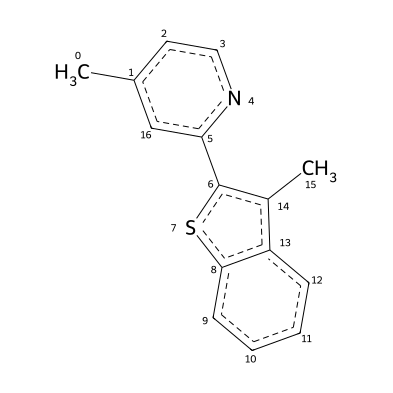 Cc1ccnc(-c2sc3ccccc3c2C)c1